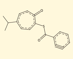 CC(C)c1ccc(SC(=O)c2c#cccc2)c(=O)cc1